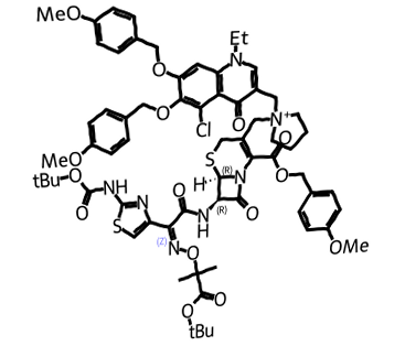 CCn1cc(C[N+]2(CC3=C(C(=O)OCc4ccc(OC)cc4)N4C(=O)[C@@H](NC(=O)/C(=N\OC(C)(C)C(=O)OC(C)(C)C)c5csc(NC(=O)OC(C)(C)C)n5)[C@H]4SC3)CCCC2)c(=O)c2c(Cl)c(OCc3ccc(OC)cc3)c(OCc3ccc(OC)cc3)cc21